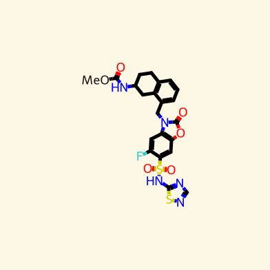 COC(=O)NC1CCc2cccc(Cn3c(=O)oc4cc(S(=O)(=O)Nc5ncns5)c(F)cc43)c2C1